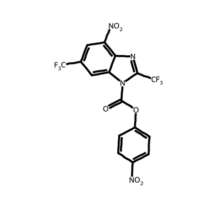 O=C(Oc1ccc([N+](=O)[O-])cc1)n1c(C(F)(F)F)nc2c([N+](=O)[O-])cc(C(F)(F)F)cc21